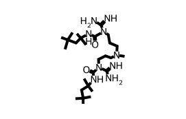 CN(CCCN(C(=N)N)C(=O)NC(C)(C)CC(C)(C)C)CCCN(C(=N)N)C(=O)NC(C)(C)CC(C)(C)C